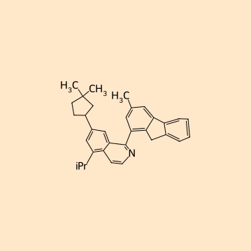 Cc1cc2c(c(-c3nccc4c(C(C)C)cc(C5CCC(C)(C)C5)cc34)c1)Cc1ccccc1-2